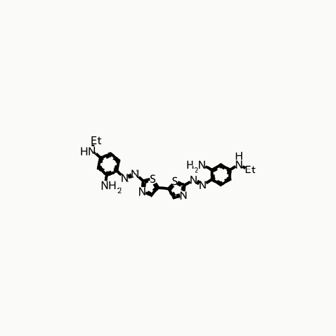 CCNc1ccc(/N=N/c2ncc(-c3cnc(/N=N/c4ccc(NCC)cc4N)s3)s2)c(N)c1